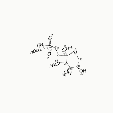 CCCCCCCCNS(=O)(=O)OC[C@@]1(O)OC[C@@H](O)[C@@H](O)[C@@H]1O